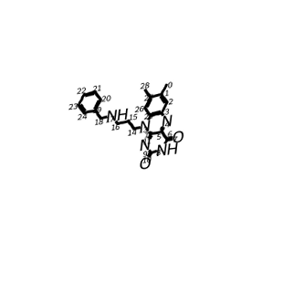 Cc1cc2nc3c(=O)[nH]c(=O)nc-3n(CCCNCc3ccccc3)c2cc1C